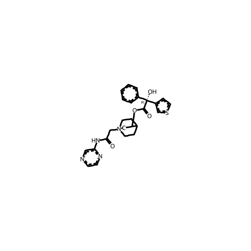 O=C(C[N+]12CCC(CC1)C(OC(=O)[C@@](O)(c1ccccc1)c1ccsc1)C2)Nc1cnccn1